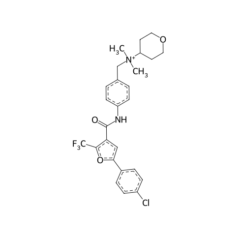 C[N+](C)(Cc1ccc(NC(=O)c2cc(-c3ccc(Cl)cc3)oc2C(F)(F)F)cc1)C1CCOCC1